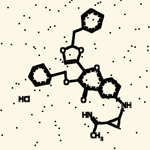 CC(=N)C1CC1Nc1ccc2oc(C3=COC(Cc4ccccc4)O3)c(OCc3ccccc3)c(=O)c2c1.Cl